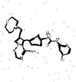 Nc1ncnn2cc(CN3CCOCC3)c(-c3ccc(NC(=O)Nc4cc(C(F)(F)F)ccn4)cc3)c12